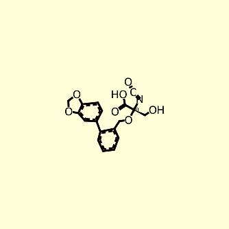 O=C=N[C@](CO)(OCc1ccccc1-c1ccc2c(c1)OCO2)C(=O)O